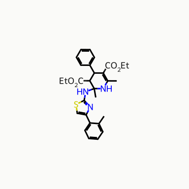 CCOC(=O)C1=C(C)NC(C)(Nc2nc(-c3ccccc3C)cs2)C(C(=O)OCC)C1c1ccccc1